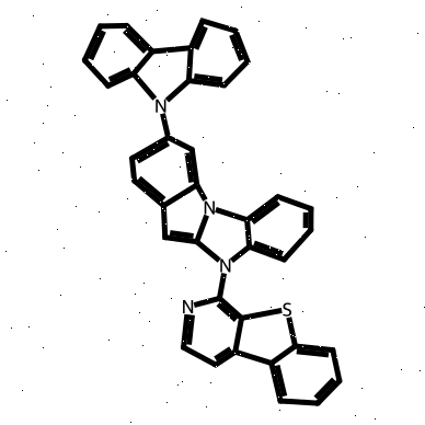 c1ccc2c(c1)sc1c(-n3c4ccccc4n4c5cc(-n6c7ccccc7c7ccccc76)ccc5cc34)nccc12